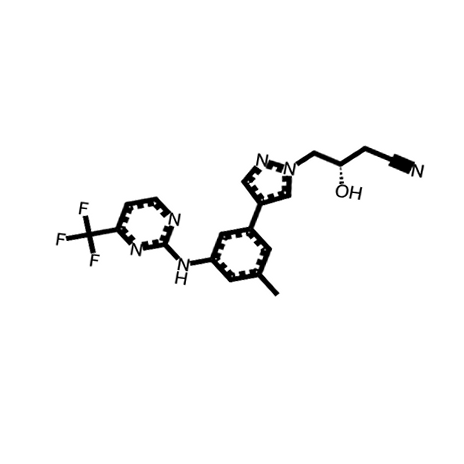 Cc1cc(Nc2nccc(C(F)(F)F)n2)cc(-c2cnn(C[C@@H](O)CC#N)c2)c1